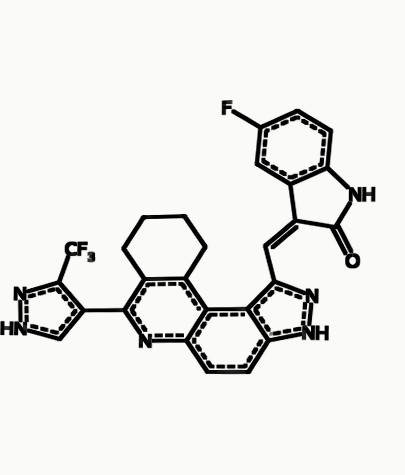 O=C1Nc2ccc(F)cc2/C1=C/c1n[nH]c2ccc3nc(-c4c[nH]nc4C(F)(F)F)c4c(c3c12)CCCC4